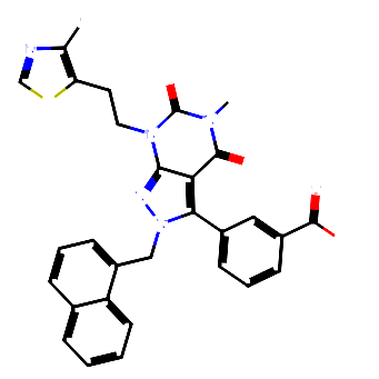 Cc1ncsc1CCn1c(=O)n(C)c(=O)c2c(-c3cccc(C(=O)O)c3)n(Cc3cccc4ccccc34)nc21